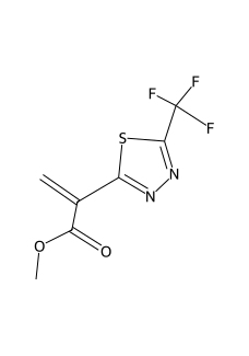 C=C(C(=O)OC)c1nnc(C(F)(F)F)s1